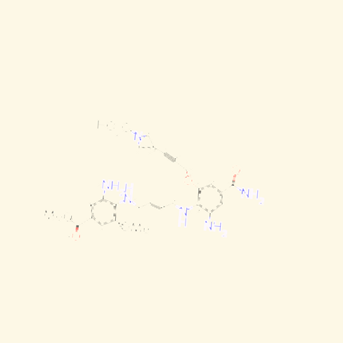 COC(=O)c1cc(N)c(NC/C=C/CNc2c(N)cc(C(N)=O)cc2OCC#CC2CN(C(=O)O)C2)c(OC)c1